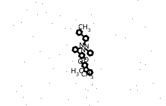 Cc1cccc(-c2cccc(-c3nc(-c4ccccc4)nc(-c4ccccc4-c4ccc5c(c4)Oc4cc6c(cc4O5)-c4ccccc4C6(C)C)n3)c2)c1